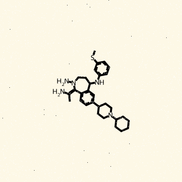 CSc1cccc(NC2CCN(N)/C(=C(/C)N)c3ccc(C4CCN(C5CCCCC5)CC4)cc32)c1